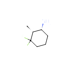 C[C@H]1[C@@H](N)CCCC1(F)F